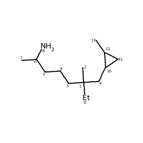 CCC(C)(CCCC(C)N)CC1CC1C